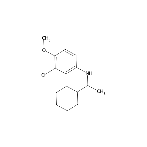 COc1ccc(NC(C)C2CCCCC2)cc1Cl